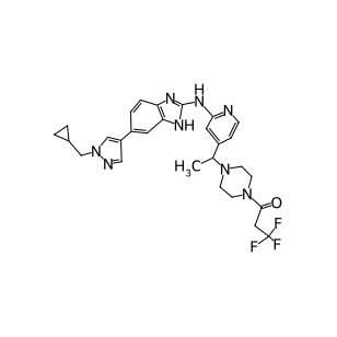 CC(c1ccnc(Nc2nc3ccc(-c4cnn(CC5CC5)c4)cc3[nH]2)c1)N1CCN(C(=O)CC(F)(F)F)CC1